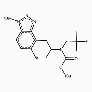 CC(Cc1c(Br)ccc2c1nnn2C(C)(C)C)N(CC(C)(C)F)C(=O)OC(C)(C)C